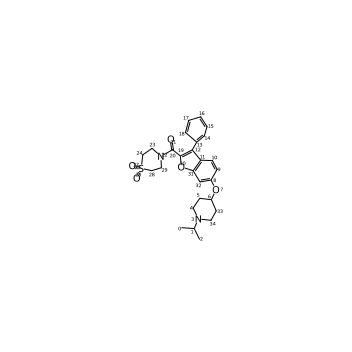 CC(C)N1CCC(Oc2ccc3c(-c4ccccc4)c(C(=O)N4CCS(=O)(=O)CC4)oc3c2)CC1